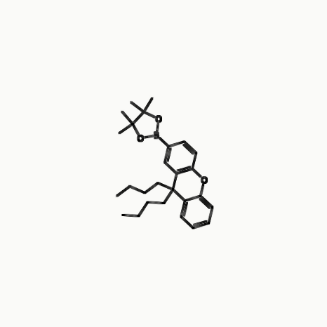 CCCCC1(CCCC)c2ccccc2Oc2ccc(B3OC(C)(C)C(C)(C)O3)cc21